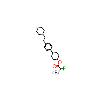 CCCC[C@H](F)C(=O)OC1CCC(c2ccc(CCC3CC[CH]CC3)cc2)CC1